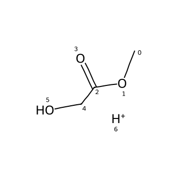 COC(=O)CO.[H+]